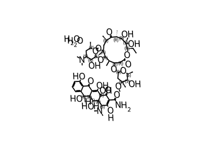 CC[C@H]1OC(=O)[C@H](C)[C@@H](O[C@H]2C[C@@](C)(OC)[C@@H](O)[C@H](C)O2)C(C)[C@@H](O[C@@H]2O[C@H](C)C[C@H](N(C)C)[C@H]2O)[C@](C)(OC)C[C@@H](C)C(=O)[C@H](C)[C@@H](O)[C@]1(C)O.CN(C)[C@@H]1C(O)=C(C(N)=O)C(=O)[C@@]2(O)C(O)=C3C(=O)c4c(O)cccc4[C@@](C)(O)[C@H]3[C@H](O)[C@@H]12.O.O